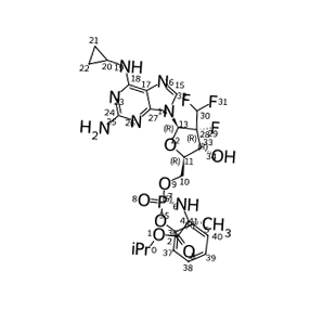 CC(C)OC(=O)[C@@H](C)N[P@](=O)(OC[C@H]1O[C@@H](n2cnc3c(NC4CC4)nc(N)nc32)[C@@](F)(C(F)F)[C@@H]1O)Oc1ccccc1